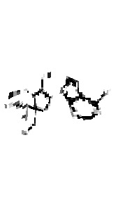 Nc1ncnc2c1ncn2[C@@H]1O[C@@](CO)(NS)[C@@H](O)[C@H]1O